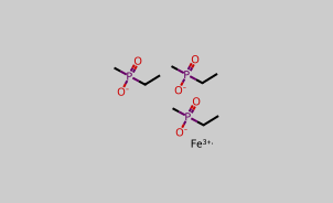 CCP(C)(=O)[O-].CCP(C)(=O)[O-].CCP(C)(=O)[O-].[Fe+3]